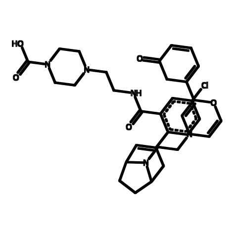 O=C1C=CC=C(C2=CN(CCN3C4C=C(c5ccc(Cl)cc5C(=O)NCCN5CCN(C(=O)O)CC5)CC3CC4)C=CO2)C1